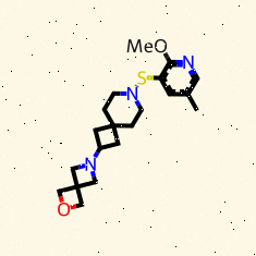 COc1ncc(C)cc1SN1CCC2(CC1)CC(N1CC3(COC3)C1)C2